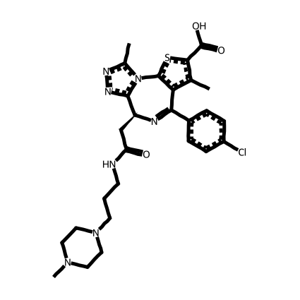 Cc1c(C(=O)O)sc2c1C(c1ccc(Cl)cc1)=N[C@@H](CC(=O)NCCCN1CCN(C)CC1)c1nnc(C)n1-2